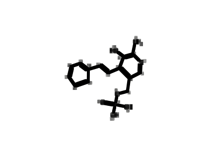 Cc1ncc(COP(=O)(O)O)c(C=Cc2ccccc2)c1O